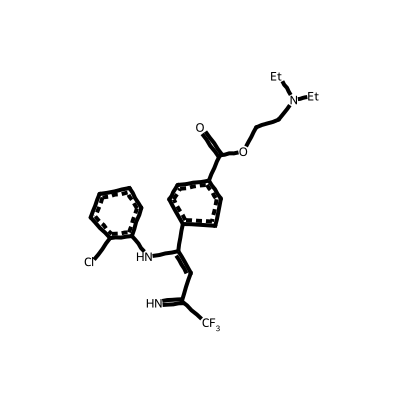 CCN(CC)CCOC(=O)c1ccc(/C(=C/C(=N)C(F)(F)F)Nc2ccccc2Cl)cc1